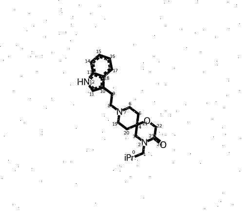 CC(C)CN1CC2(CCN(CCc3c[nH]c4ccccc34)CC2)OCC1=O